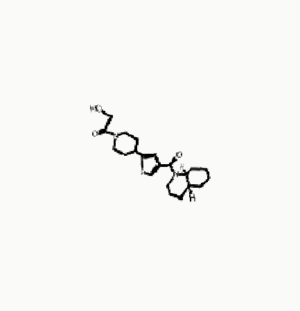 O=C(CO)N1CCC(c2cc(C(=O)N3CCC[C@H]4CCCC[C@H]43)cs2)CC1